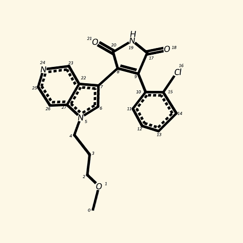 COCCCn1cc(C2=C(c3ccccc3Cl)C(=O)NC2=O)c2cnccc21